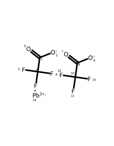 O=C([O-])C(F)(F)F.O=C([O-])C(F)(F)F.[Pb+2]